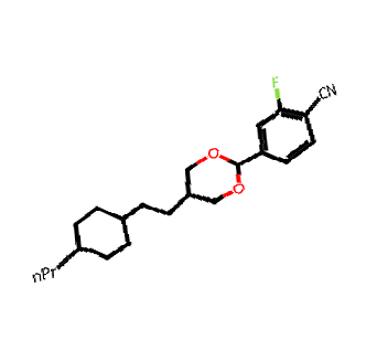 CCCC1CCC(CCC2COC(c3ccc(C#N)c(F)c3)OC2)CC1